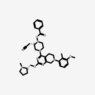 COc1cccc(N2CCc3c(nc(OC[C@@H]4CCCN4C)nc3N3CCN(OC(=O)c4ccccc4)[C@@H](CC#N)C3)C2)c1C